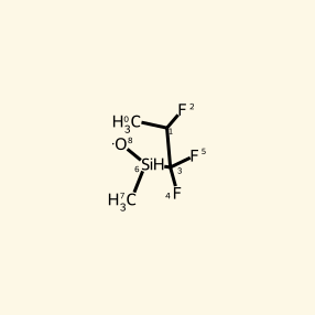 CC(F)C(F)(F)[SiH](C)[O]